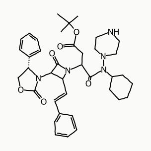 CC(C)(C)OC(=O)CC(C(=O)N(C1CCCCC1)N1CCNCC1)N1C(=O)C(N2C(=O)OC[C@@H]2c2ccccc2)C1C=Cc1ccccc1